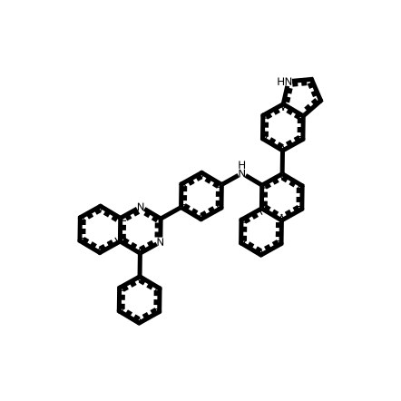 c1ccc(-c2nc(-c3ccc(Nc4c(-c5ccc6[nH]ccc6c5)ccc5ccccc45)cc3)nc3ccccc23)cc1